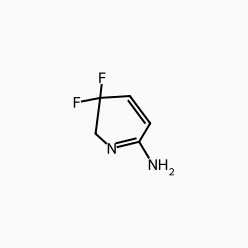 NC1=NCC(F)(F)C=C1